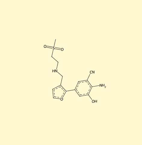 CS(=O)(=O)CCNCc1ccoc1-c1cc(O)c(N)c(C#N)c1